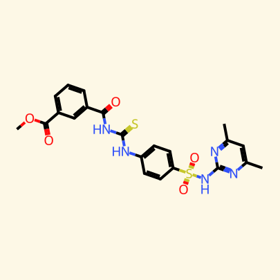 COC(=O)c1cccc(C(=O)NC(=S)Nc2ccc(S(=O)(=O)Nc3nc(C)cc(C)n3)cc2)c1